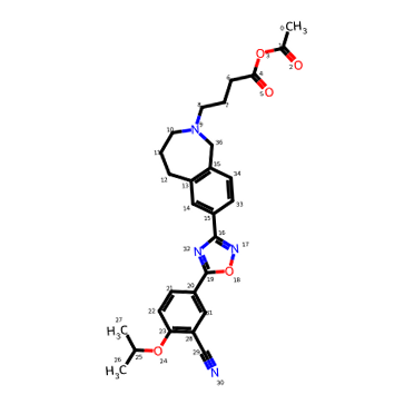 CC(=O)OC(=O)CCCN1CCCc2cc(-c3noc(-c4ccc(OC(C)C)c(C#N)c4)n3)ccc2C1